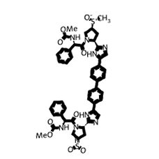 COC(=O)N[C@H](C(=O)N1C[C@@H]([S+](C)[O-])C[C@H]1c1ncc(-c2ccc(-c3ccc(-c4cnc([C@@H]5C[C@H]([SH](=O)=O)CN5C(=O)[C@@H](NC(=O)OC)c5ccccc5)[nH]4)cc3)cc2)[nH]1)c1ccccc1